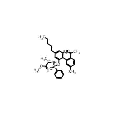 C=C(C)c1ccc(C)cc1-c1c(O)cc(CCCCC)cc1OP(=O)(N[C@@H](C)C(=O)OC)c1ccccc1